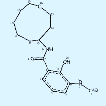 O=CNc1cccc(C(=O)NC2CCCCCCCC2)c1O